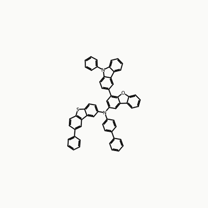 c1ccc(-c2ccc(N(c3ccc4sc5ccc(-c6ccccc6)cc5c4c3)c3cc(-c4ccc5c(c4)c4ccccc4n5-c4ccccc4)c4oc5ccccc5c4c3)cc2)cc1